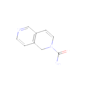 NC(=O)N1C=Cc2cnccc2C1